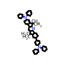 CC1(C)c2cc(-c3ccc(N(c4ccccc4)c4ccccc4)cc3)ccc2-c2nc3c(cc21)-c1ccc(N(c2ccccc2)c2ccccc2)cc1C3(C)C